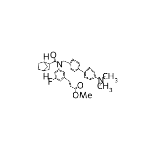 COC(=O)/C=C/c1cc(F)cc(N(Cc2ccc(-c3ccc(N(C)C)cc3)cc2)C(=O)[C@H]2C[C@H]3CC[C@@H]2C3)c1